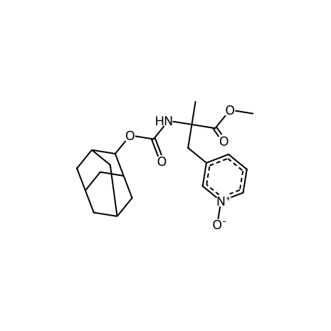 COC(=O)C(C)(Cc1ccc[n+]([O-])c1)NC(=O)OC1C2CC3CC(C2)CC1C3